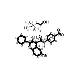 C[N+](C)(C)CCO.Cc1c(-c2ccccc2)nc2ccc(Br)cc2c1C(=O)NC12CCC(C(=O)[O-])(CC1)CC2